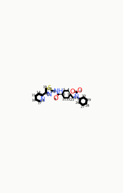 O=C1O[C@]2(CC[C@H](C(=O)Nc3nc(-c4ccccn4)cs3)CC2)CN1c1ccccc1